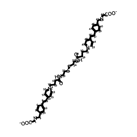 O=C([O-])C=NCc1ccc(C=Cc2cc[n+](CCCC(=O)NCCSSCCNC(=O)CCC[n+]3ccc(C=Cc4ccc(CN=CC(=O)[O-])cc4)cc3)cc2)cc1